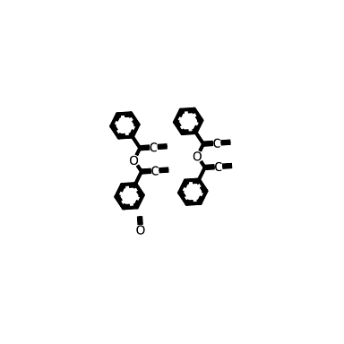 C=C=C(OC(=C=C)c1ccccc1)c1ccccc1.C=C=C(OC(=C=C)c1ccccc1)c1ccccc1.C=O